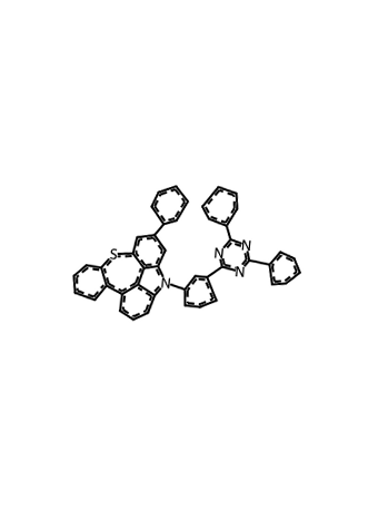 c1ccc(-c2cc3sc4ccccc4c4cccc5c4c3c(c2)n5-c2cccc(-c3nc(-c4ccccc4)nc(-c4ccccc4)n3)c2)cc1